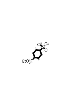 CCOC(=O)C1CCC(S(=O)(=O)Cl)CC1